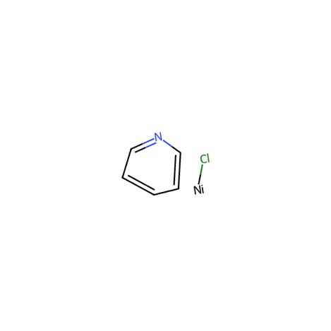 [Cl][Ni].c1ccncc1